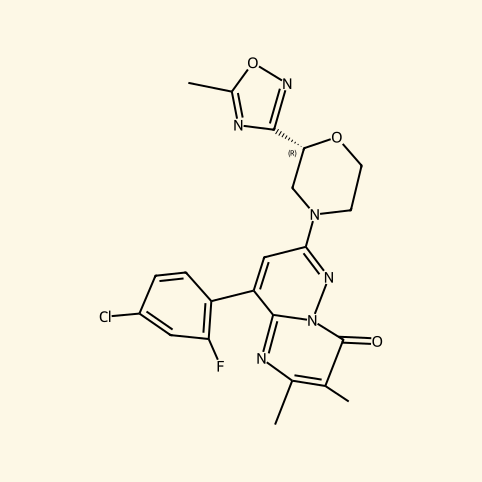 Cc1nc([C@H]2CN(c3cc(-c4ccc(Cl)cc4F)c4nc(C)c(C)c(=O)n4n3)CCO2)no1